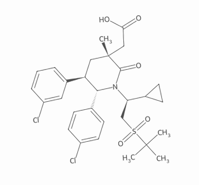 CC(C)(C)S(=O)(=O)C[C@H](C1CC1)N1C(=O)[C@@](C)(CC(=O)O)C[C@H](c2cccc(Cl)c2)[C@H]1c1ccc(Cl)cc1